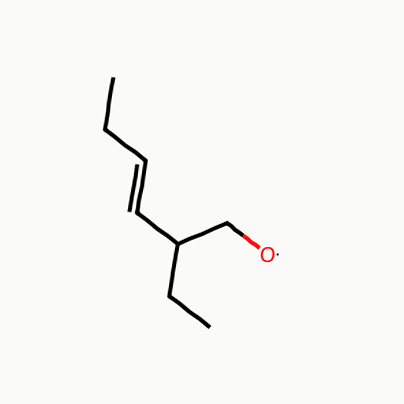 CC/C=C/C(CC)C[O]